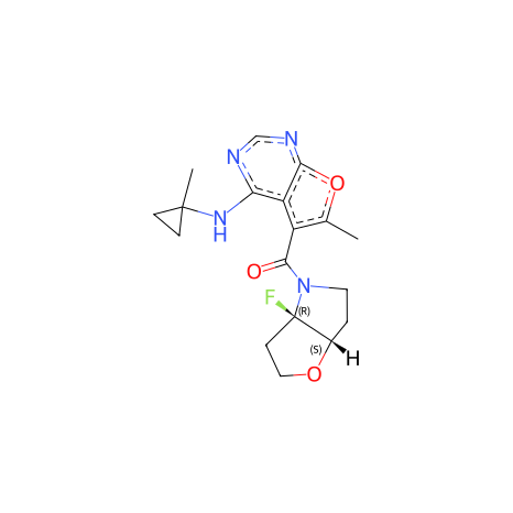 Cc1oc2ncnc(NC3(C)CC3)c2c1C(=O)N1CC[C@@H]2OCC[C@@]21F